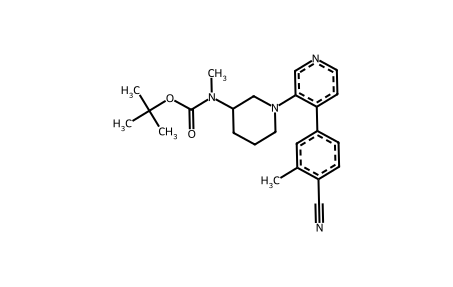 Cc1cc(-c2ccncc2N2CCCC(N(C)C(=O)OC(C)(C)C)C2)ccc1C#N